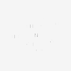 CC(C)(C)N(C(=O)O)C1(C=O)CC1